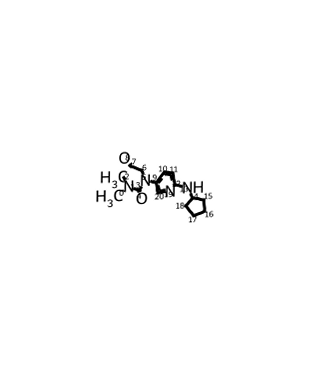 CN(C)C(=O)N(CC=O)c1ccc(NC2CCCC2)nc1